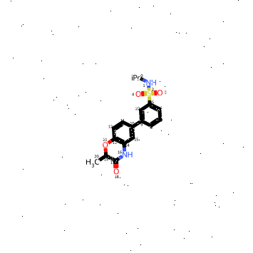 CC(C)NS(=O)(=O)c1cccc(-c2ccc3c(c2)NC(=O)C(C)O3)c1